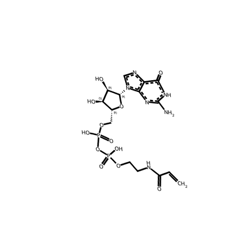 C=CC(=O)NCCOP(=O)(O)OP(=O)(O)OC[C@H]1O[C@@H](n2cnc3c(=O)[nH]c(N)nc32)[C@H](O)[C@@H]1O